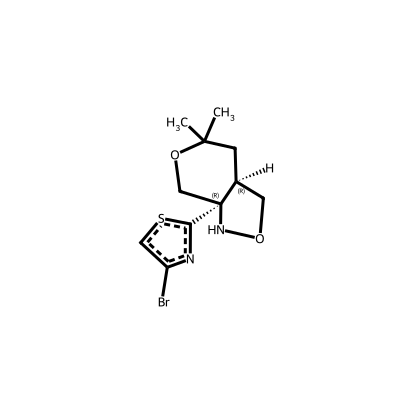 CC1(C)C[C@H]2CON[C@@]2(c2nc(Br)cs2)CO1